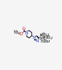 CCC[CH2][Sn]([CH2]CCC)([CH2]CCC)[c]1cn(C2CCN(C(=O)OC(C)(C)C)CC2)cn1